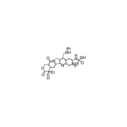 CC[C@@]1(O)C(=O)OCc2c1cc1n(c2=O)Cc2c-1nc1cc(F)c(NP(=O)(O)O)cc1c2CNC(C)C